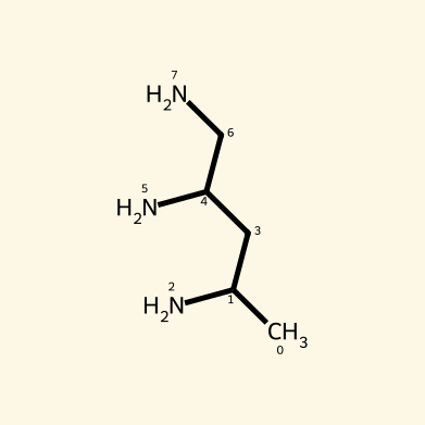 CC(N)CC(N)CN